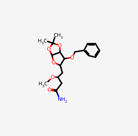 COC(CC(N)=O)CC1OC2OC(C)(C)OC2C1OCc1ccccc1